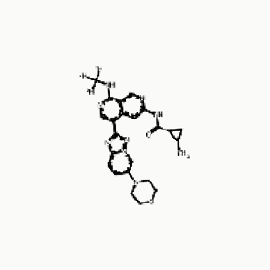 [2H]C([2H])([2H])Nc1ncc(-c2nc3ccc(N4CCOCC4)cn3n2)c2cc(NC(=O)[C@H]3C[C@H]3C)ncc12